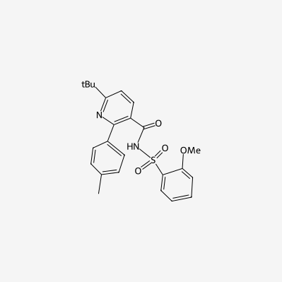 COc1ccccc1S(=O)(=O)NC(=O)c1ccc(C(C)(C)C)nc1-c1ccc(C)cc1